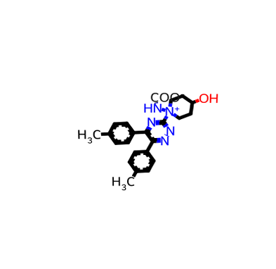 Cc1ccc(-c2nnc([N+]3(NC(=O)[O-])CCC(O)CC3)nc2-c2ccc(C)cc2)cc1